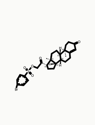 C[C@]12CC[C@H]3[C@H](CCC4=CC(=O)CC[C@@]43C)[C@@H]1CC[C@@H]2C(=O)COS(=O)(=O)c1ccc(Br)cc1